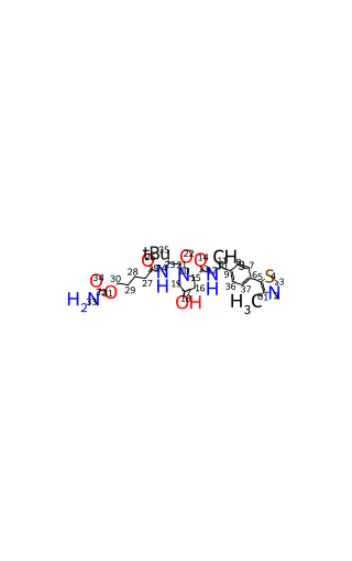 Cc1ncsc1-c1ccc([C@H](C)NC(=O)[C@@H]2C[C@@H](O)CN2C(=O)[C@@H](NC(=O)CCCCOC(N)=O)C(C)(C)C)cc1